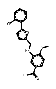 COc1ccc(C(=O)O)cc1NCc1ccc(-c2ccccc2Cl)o1